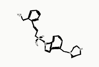 NCc1ccccc1C=CCS(=O)(=O)n1ccc2c(CN3CCNCC3)cccc21